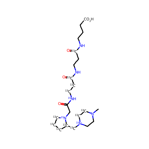 CN1CC[15N]([13CH2][13CH]2[13CH2][13CH2][13CH2][15N]2CC(=O)[15NH][13CH2][13CH2][13C](=O)NCC[13C](=O)NCCCC(=O)O)[13CH2][13CH2]1